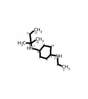 CCNC1CCC(NC(C)(C)CC)CC1